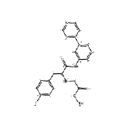 CC(C)(C)OC(=O)CNC(Cc1ccc(F)cc1)C(=O)Nc1cccc(-c2ccncc2)c1